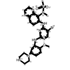 COc1ccc(N2CCNCC2)cc1Nc1ncc(Br)c(Nc2ccc3nccnc3c2N(C)S(C)(=O)=O)n1